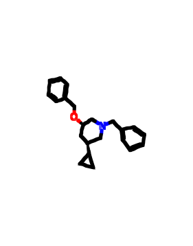 c1ccc(CO[C@@H]2C[C@H](C3CC3)CN(Cc3ccccc3)C2)cc1